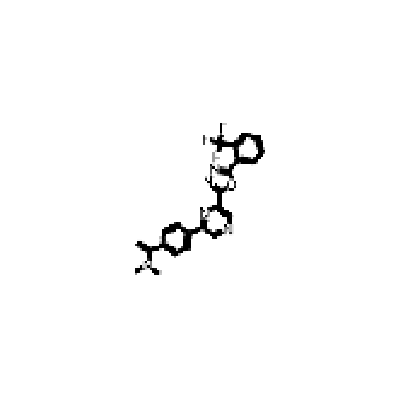 C=C(c1ccc(-c2cncc(-c3nnc(-c4ccccc4C(F)(F)F)o3)n2)cc1)N(C)C